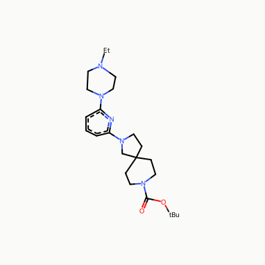 CCN1CCN(c2cccc(N3CCC4(CCN(C(=O)OC(C)(C)C)CC4)C3)n2)CC1